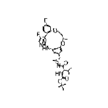 CC1CCOc2cc(F)ccc2-c2nc(ncc2F)Nc2cc(C/S(C)=N\C(=O)C(NC(=O)OC(C)(C)C)C(C)C)cc(c2)O1